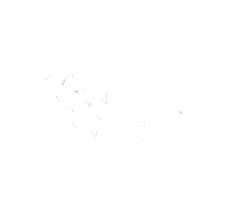 CCN(C=O)c1cc(CCNc2nc(N)c3ncn([C@@H]4O[C@H](CO)[C@@H](O)[C@H]4O)c3n2)ccc1CC=C=O